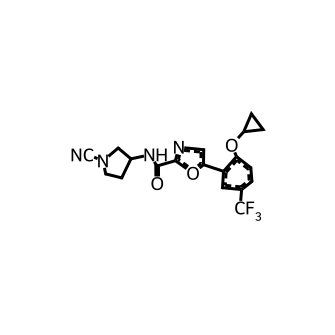 N#CN1CCC(NC(=O)c2ncc(-c3cc(C(F)(F)F)ccc3OC3CC3)o2)C1